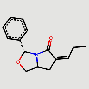 CC/C=C1/CC2CO[C@H](c3ccccc3)N2C1=O